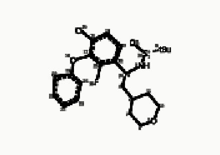 CC(C)(C)[S@@+]([O-])N[C@@H](CC1CCOCC1)c1ccc(Cl)c(Oc2ccccc2)c1F